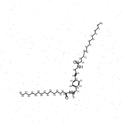 CCCCCCCCCCCCCCCC(=O)NCC#Cc1ccc(C[C@@H](C)NC(=O)CCCCCCCCCCCCCCC)cc1